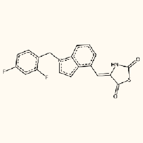 O=C1NC(=Cc2cccc3c2ccn3Cc2ccc(F)cc2F)C(=O)S1